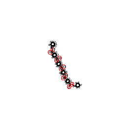 O=C(OCc1ccccc1)c1ccc(C(=O)Oc2ccc(OC(=O)c3ccc(OC(=O)c4ccc(C(=O)OCc5ccccc5)cc4)cc3)cc2)cc1